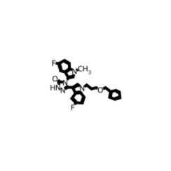 Cn1cc(-n2c(-c3cn(CCCOCc4ccccc4)c4ccc(F)cc34)n[nH]c2=O)c2cc(F)ccc21